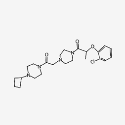 CC(Oc1ccccc1Cl)C(=O)N1CCN(CC(=O)N2CCN(C3CCC3)CC2)CC1